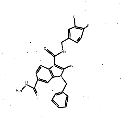 CC(C)c1c(C(=O)NCc2ccc(F)c(F)c2)c2ccc(C(=O)NN)cc2n1Cc1ccccc1